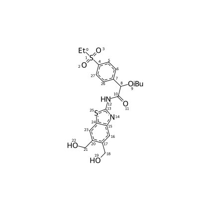 CCS(=O)(=O)c1ccc(C(OCC(C)C)C(=O)Nc2nc3cc(CO)c(CO)cc3s2)cc1